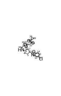 C=C(NC1CCC(c2nc3cc(Cl)ccc3o2)CC1)c1ccc(CS(=O)(=O)C2CC2)o1